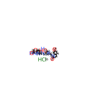 COc1ccc2ccc(=O)n(CCN3C[C@H](CNCc4ccc5c(n4)NC(=O)CO5)[C@H](O)C3)c2c1.Cl